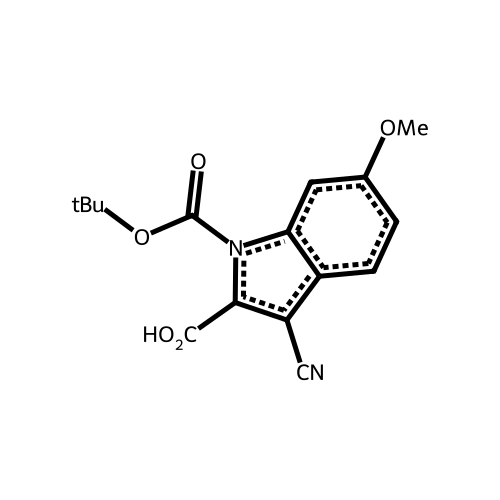 COc1ccc2c(C#N)c(C(=O)O)n(C(=O)OC(C)(C)C)c2c1